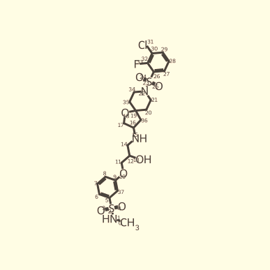 CNS(=O)(=O)c1cccc(OCC(O)CNC2COC3(CCN(S(=O)(=O)c4cccc(Cl)c4F)CC3)C2)c1